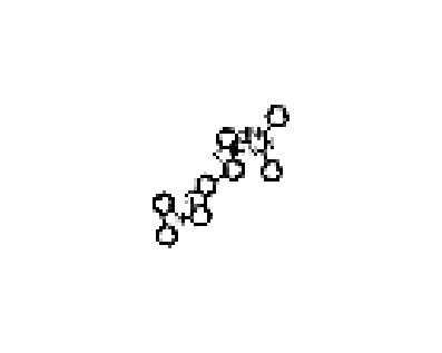 c1ccc(C2=NC(c3ccccc3)NC(c3cccc4sc5c(-c6ccc7sc8c(-n9c%10ccccc%10c%10ccccc%109)cccc8c7c6)cccc5c34)N2)cc1